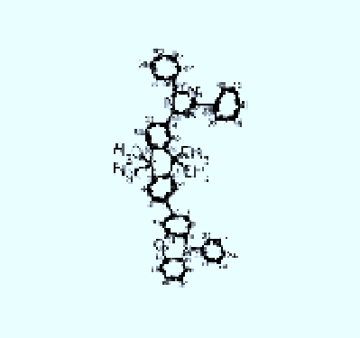 CC1(C)c2ccc(-c3ccc4c(c3)Oc3ccccc3N4c3ccccc3)cc2C(C)(C)c2cc(-c3nc(-c4ccccc4)nc(-c4ccccc4)n3)ccc21